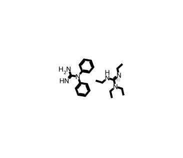 CC/N=C(\NCC)N(CC)CC.N=C(N)N(c1ccccc1)c1ccccc1